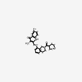 Cc1c(COc2cccc3c2CN(C(=O)C2CCOCC2)CC3)[nH]c2ccc(F)cc2c1=O